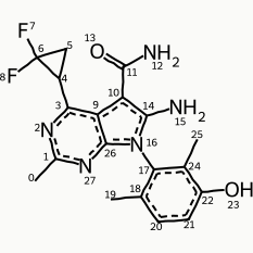 Cc1nc(C2CC2(F)F)c2c(C(N)=O)c(N)n(-c3c(C)ccc(O)c3C)c2n1